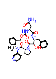 CN(C(=O)[C@@H]1CCCN1C(=O)C(O)[C@H](Cc1ccccc1)NC(=O)[C@H](CC(N)=O)NC(=O)OCc1ccccc1)c1cccnc1